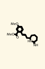 COC(=O)c1cc(OC)ccc1/C=C/CC1CCCCC(=N)N1